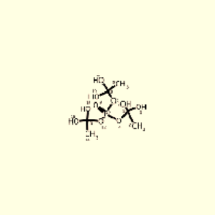 CC(O)(O)OP(=O)(OC(C)(O)O)OC(C)(O)O